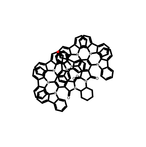 O=C1c2c(c(-n3c4ccccc4c4ccccc43)c(-n3c4ccccc4c4ccccc43)c(-n3c4ccccc4c4ccccc43)c2-n2c3ccccc3c3ccccc32)C(=O)N1C1CCCCC1N1C(=O)c2c(c(-n3c4ccccc4c4ccccc43)c(-n3c4ccccc4c4ccccc43)c(-n3c4ccccc4c4ccccc43)c2-n2c3ccccc3c3ccccc32)C1=O